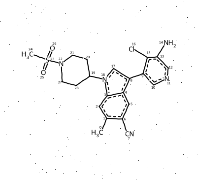 Cc1cc2c(cc1C#N)c(-c1cncc(N)c1Cl)cn2C1CCN(S(C)(=O)=O)CC1